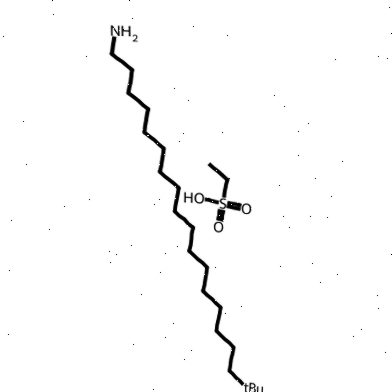 CC(C)(C)CCCCCCCCCCCCCCCCCN.CCS(=O)(=O)O